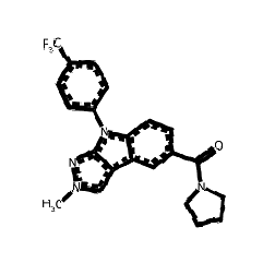 Cn1cc2c3cc(C(=O)N4CCCC4)ccc3n(-c3ccc(C(F)(F)F)cc3)c2n1